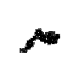 CC(C)(C)Cn1c(CN2CCC(c3ccccc3OCCCN3CCN(CCO)CC3)CC2)cc2cnc(C#N)nc21